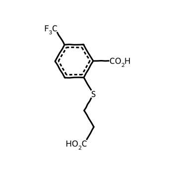 O=C(O)CCSc1ccc(C(F)(F)F)cc1C(=O)O